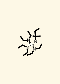 CC[N](CC)[Nb](=[N]C(C)(C)CC)([N](CC)CC)[N](CC)CC